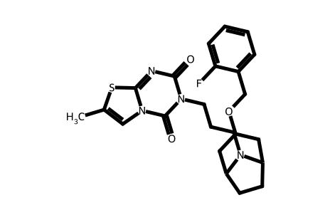 Cc1cn2c(=O)n(CCCN3C4CCC3CC(OCc3ccccc3F)C4)c(=O)nc2s1